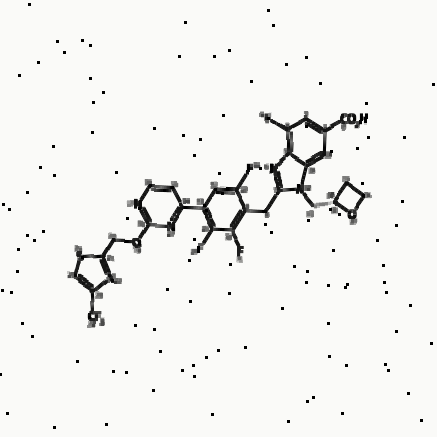 O=C(O)c1cc(F)c2nc(Cc3c(F)cc(-c4ccnc(OCc5nc(C(F)(F)F)cs5)n4)c(F)c3F)n(C[C@@H]3CCO3)c2c1